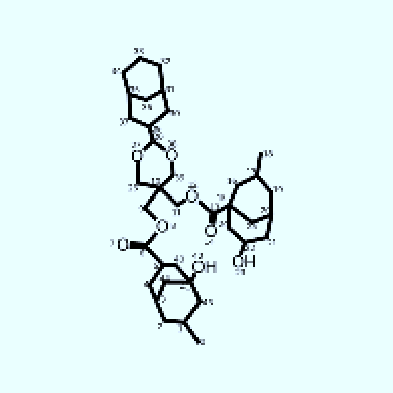 CC1CC2CC(C(=O)OCC3(COC(=O)C45CC(C)CC(CC(O)C4)C5)COC(C4CC5CCCC(C5)C4)OC3)CC(O)(C1)C2